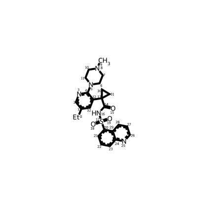 CCc1cnc(N2CCN(C)CC2)c(C2(C(=O)NS(=O)(=O)c3cccc4ncccc34)CC2)c1